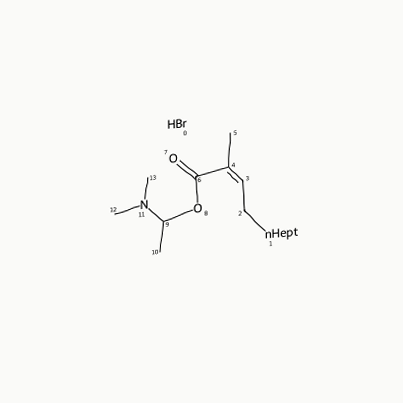 Br.CCCCCCCCC=C(C)C(=O)OC(C)N(C)C